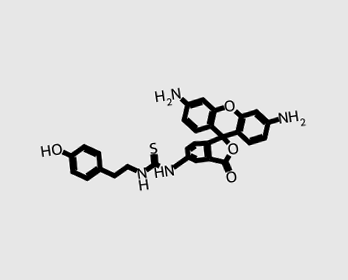 Nc1ccc2c(c1)Oc1cc(N)ccc1C21OC(=O)c2cc(NC(=S)NCCc3ccc(O)cc3)ccc21